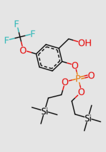 C[Si](C)(C)CCOP(=O)(OCC[Si](C)(C)C)Oc1ccc(OC(F)(F)F)cc1CO